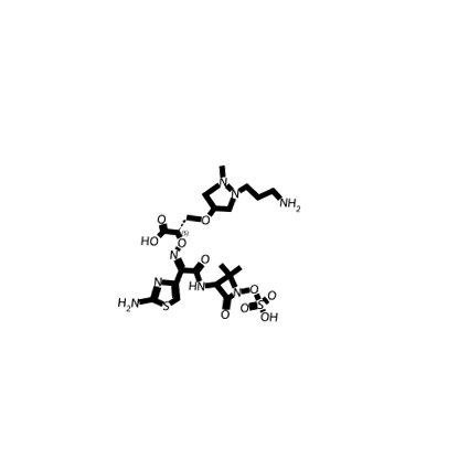 CN1CC(OC[C@H](ON=C(C(=O)NC2C(=O)N(OS(=O)(=O)O)C2(C)C)c2csc(N)n2)C(=O)O)CN1CCCN